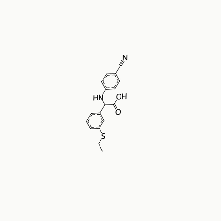 CCSc1cccc(C(Nc2ccc(C#N)cc2)C(=O)O)c1